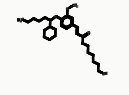 CCCCCC(Oc1ccc(/C=C/C(=O)OCCCCCCO)cc1OC)C1CCCCC1